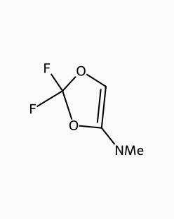 CNC1=COC(F)(F)O1